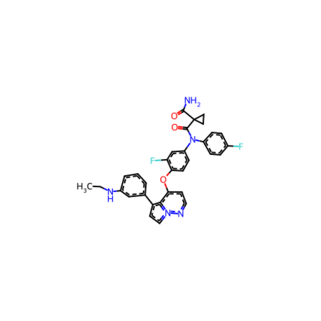 CCNc1cccc(-c2ccn3nccc(Oc4ccc(N(C(=O)C5(C(N)=O)CC5)c5ccc(F)cc5)cc4F)c23)c1